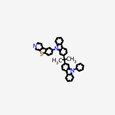 CC(C)(c1ccc2c3ccccc3n(-c3ccccc3)c2c1)c1ccc2c3ccccc3n(-c3ccc4sc5cnccc5c4c3)c2c1